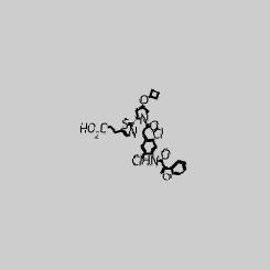 O=C(O)CCc1cnc([C@@H]2C[C@H](OC3CCC3)CN2C(=O)Cc2cc(Cl)c(NC(=O)c3coc4ccccc34)cc2Cl)s1